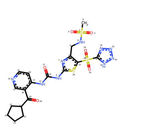 CS(=O)(=O)NCc1nc(NC(=O)Nc2ccncc2C(=O)C2CCCC2)sc1S(=O)(=O)c1nnn[nH]1